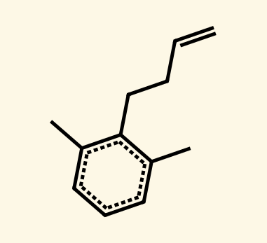 C=CCCc1c(C)cccc1C